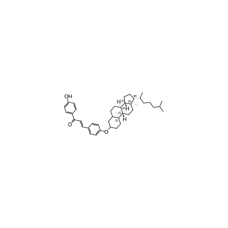 CC(C)CCCC(C)[C@H]1CC[C@H]2[C@@H]3CCC4CC(Oc5ccc(C=CC(=O)c6ccc(O)cc6)cc5)CC[C@]4(C)[C@H]3CC[C@]12C